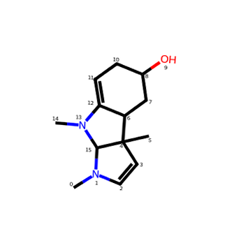 CN1C=CC2(C)C3CC(O)CC=C3N(C)C12